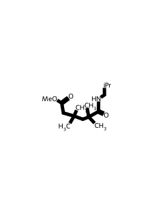 COC(=O)CC(C)(C)CC(C)(C)C(=O)NCC(C)C